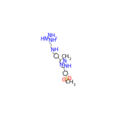 C=C1N=C2NC(c3ccc(S(C)(=O)=O)cc3)=CN2C=C1c1ccc(CNCCCNC(=N)N)cc1